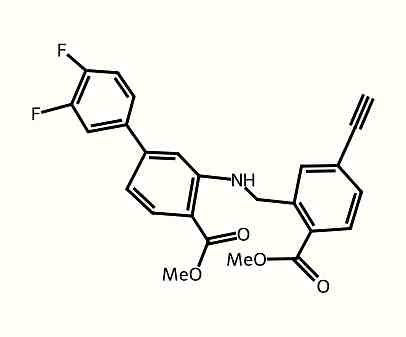 C#Cc1ccc(C(=O)OC)c(CNc2cc(-c3ccc(F)c(F)c3)ccc2C(=O)OC)c1